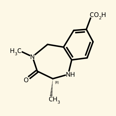 C[C@H]1Nc2ccc(C(=O)O)cc2CN(C)C1=O